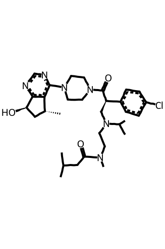 CC(C)CC(=O)N(C)CCN(C[C@@H](C(=O)N1CCN(c2ncnc3c2[C@H](C)C[C@H]3O)CC1)c1ccc(Cl)cc1)C(C)C